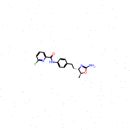 C[C@@H]1OC(N)=N[C@H]1CCc1ccc(NC(=O)c2cccc(F)n2)cc1